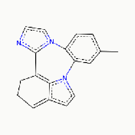 Cc1ccc2c(c1)-n1ccc3c1=C(CCC=3)c1nccn1-2